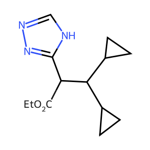 CCOC(=O)C(c1nnc[nH]1)C(C1CC1)C1CC1